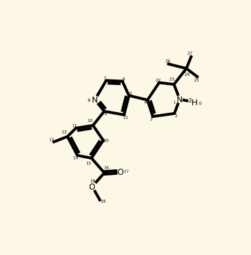 [2H]N1CC=C(c2ccnc(-c3cc(C)cc(C(=O)OC)c3)c2)CC1C(C)(C)C